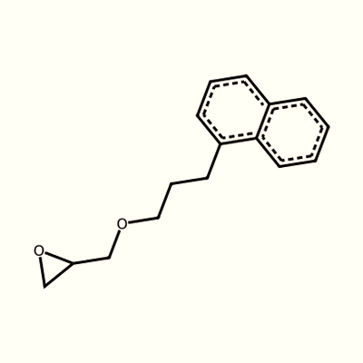 c1ccc2c(CCCOCC3CO3)cccc2c1